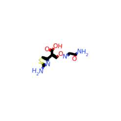 NC(=O)C=NOC=C(C(=O)O)c1csc(N)n1